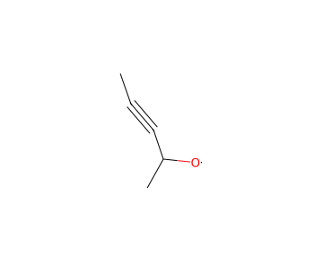 CC#CC(C)[O]